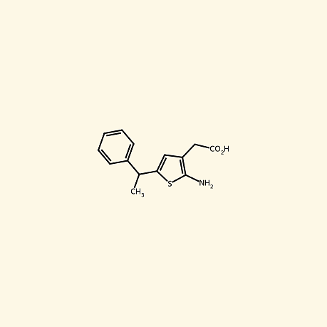 CC(c1ccccc1)c1cc(CC(=O)O)c(N)s1